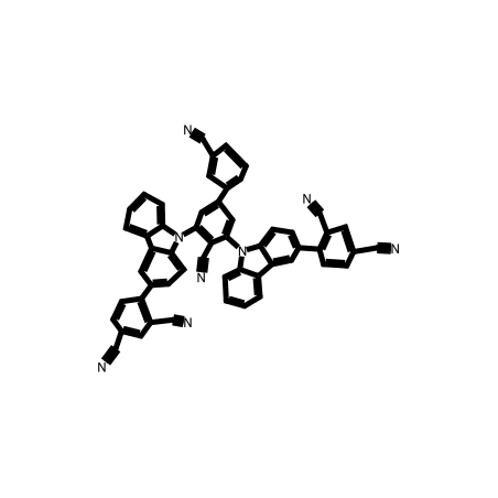 N#Cc1cccc(-c2cc(-n3c4ccccc4c4cc(-c5ccc(C#N)cc5C#N)ccc43)c(C#N)c(-n3c4ccccc4c4cc(-c5ccc(C#N)cc5C#N)ccc43)c2)c1